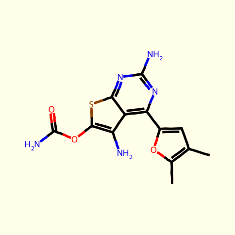 Cc1cc(-c2nc(N)nc3sc(OC(N)=O)c(N)c23)oc1C